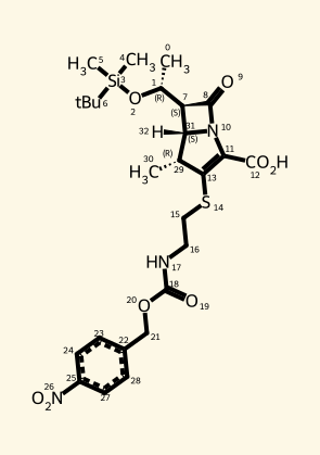 C[C@@H](O[Si](C)(C)C(C)(C)C)[C@H]1C(=O)N2C(C(=O)O)=C(SCCNC(=O)OCc3ccc([N+](=O)[O-])cc3)[C@H](C)[C@H]12